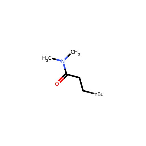 CCCCC[CH]C(=O)N(C)C